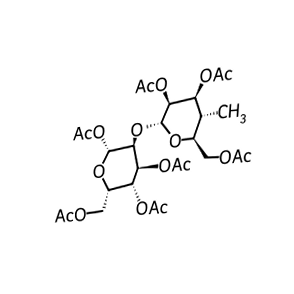 CC(=O)OC[C@@H]1O[C@H](OC(C)=O)[C@@H](O[C@H]2O[C@H](COC(C)=O)[C@@H](C)[C@H](OC(C)=O)[C@@H]2OC(C)=O)[C@@H](OC(C)=O)[C@@H]1OC(C)=O